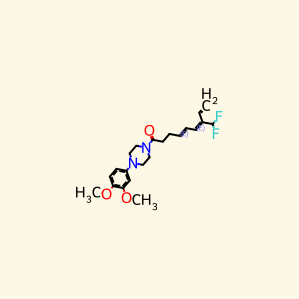 C=C/C(=C\C=C\CCC(=O)N1CCN(c2ccc(OC)c(OC)c2)CC1)C(F)F